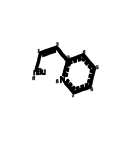 CCCC/C=[C]\c1ccccn1